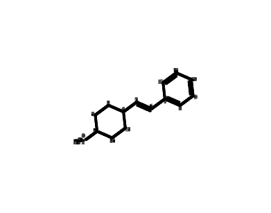 CCCC1CCC(/C=C/c2ccccc2)CC1